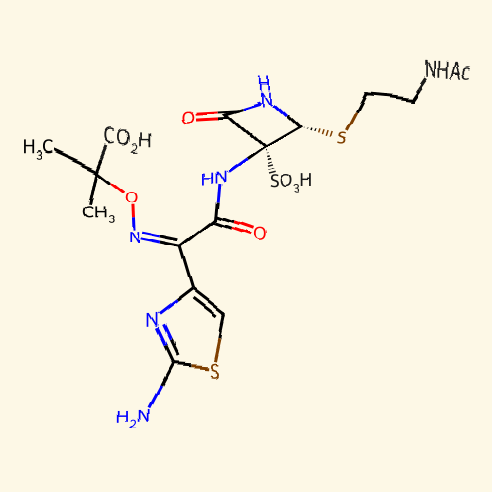 CC(=O)NCCS[C@H]1NC(=O)[C@@]1(NC(=O)/C(=N\OC(C)(C)C(=O)O)c1csc(N)n1)S(=O)(=O)O